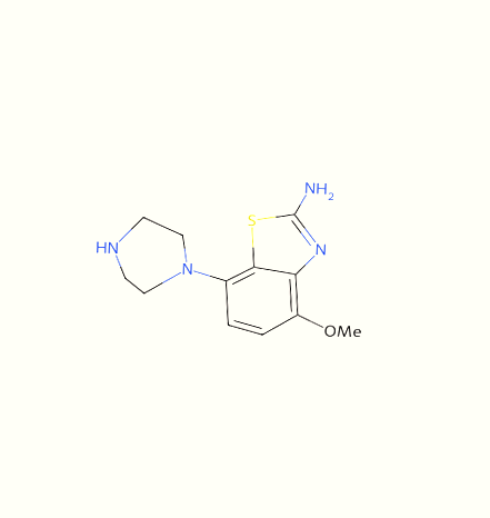 COc1ccc(N2CCNCC2)c2sc(N)nc12